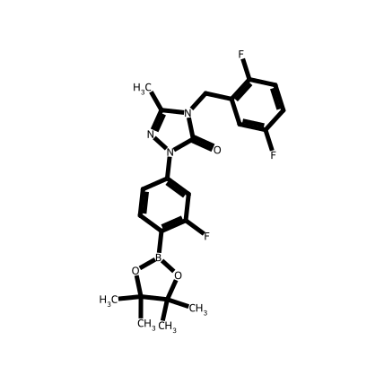 Cc1nn(-c2ccc(B3OC(C)(C)C(C)(C)O3)c(F)c2)c(=O)n1Cc1cc(F)ccc1F